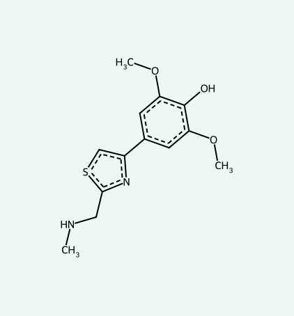 CNCc1nc(-c2cc(OC)c(O)c(OC)c2)cs1